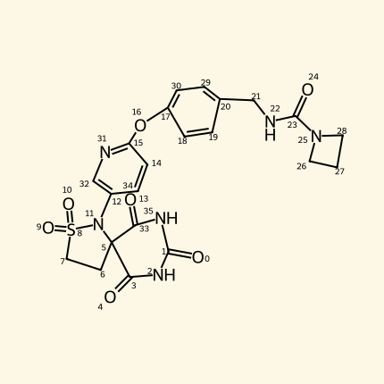 O=C1NC(=O)C2(CCS(=O)(=O)N2c2ccc(Oc3ccc(CNC(=O)N4CCC4)cc3)nc2)C(=O)N1